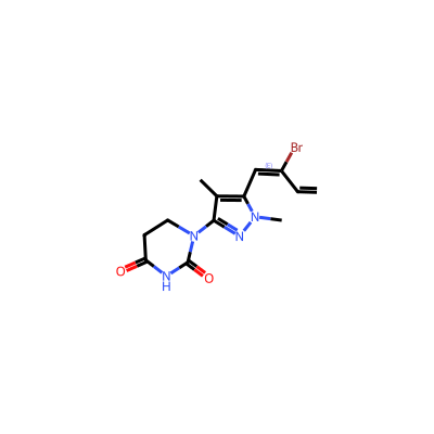 C=C/C(Br)=C\c1c(C)c(N2CCC(=O)NC2=O)nn1C